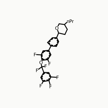 CCCC1CCC(c2ccc(-c3cc(F)c(OC(F)(F)c4cc(F)c(F)c(F)c4)c(F)c3)cc2)OC1